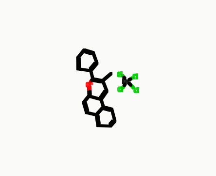 Cc1cc2c(ccc3ccccc32)[o+]c1-c1ccccc1.[Cl][Fe-]([Cl])([Cl])[Cl]